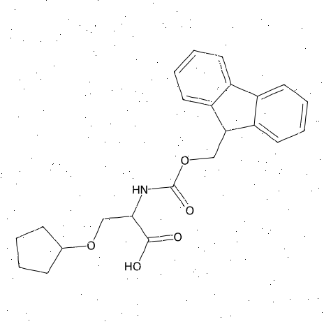 O=C(NC(COC1CCCC1)C(=O)O)OCC1c2ccccc2-c2ccccc21